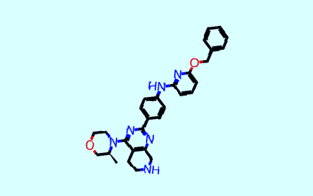 C[C@H]1COCCN1c1nc(-c2ccc(Nc3cccc(OCc4ccccc4)n3)cc2)nc2c1CCNC2